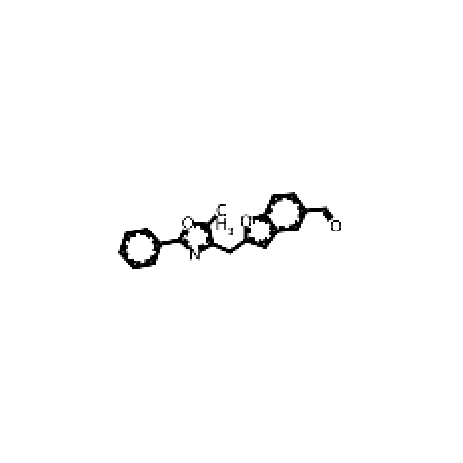 Cc1oc(-c2ccccc2)nc1Cc1cc2cc(C=O)ccc2o1